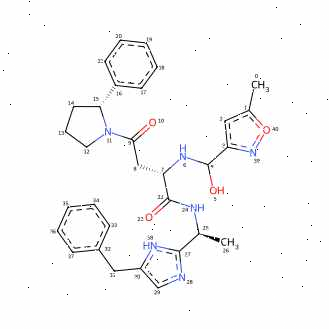 Cc1cc(C(O)N[C@@H](CC(=O)N2CCC[C@@H]2c2ccccc2)C(=O)N[C@@H](C)c2ncc(Cc3ccccc3)[nH]2)no1